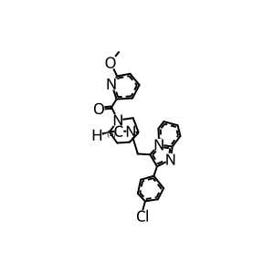 COc1cccc(C(=O)N2CC3CC[C@H]2CN3Cc2c(-c3ccc(Cl)cc3)nc3ccccn23)n1